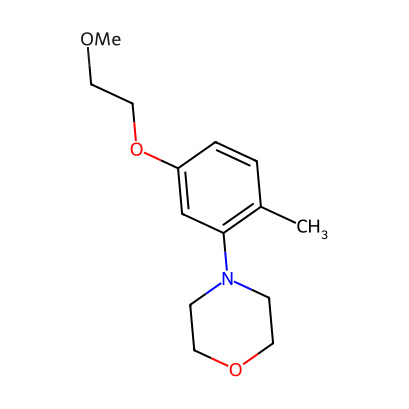 COCCOc1ccc(C)c(N2CCOCC2)c1